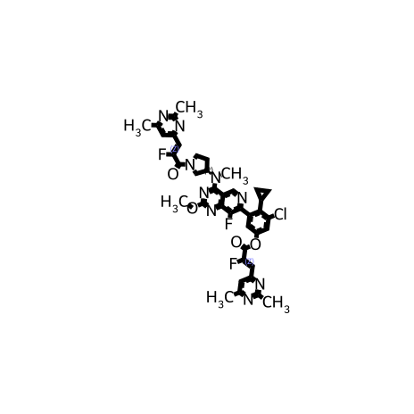 COc1nc(N(C)[C@@H]2CCN(C(=O)/C(F)=C/c3cc(C)nc(C)n3)C2)c2cnc(-c3cc(OC(=O)/C(F)=C/c4cc(C)nc(C)n4)cc(Cl)c3C3CC3)c(F)c2n1